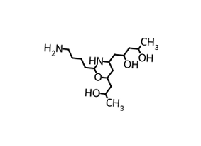 CC(O)CC(O)CC1CC(CC(C)O)OC(CCCCN)N1